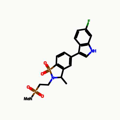 CNS(=O)(=O)CCN1C(C)c2cc(-c3c[nH]c4cc(F)ccc34)ccc2S1(=O)=O